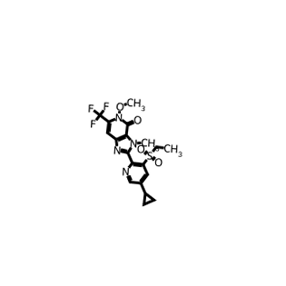 CCS(=O)(=O)c1cc(C2CC2)cnc1-c1nc2cc(C(F)(F)F)n(OC)c(=O)c2n1C